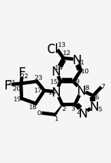 CC[C@@H]1c2nnc(C)n2-c2cnc(Cl)nc2N1C1CCC(F)(F)C1